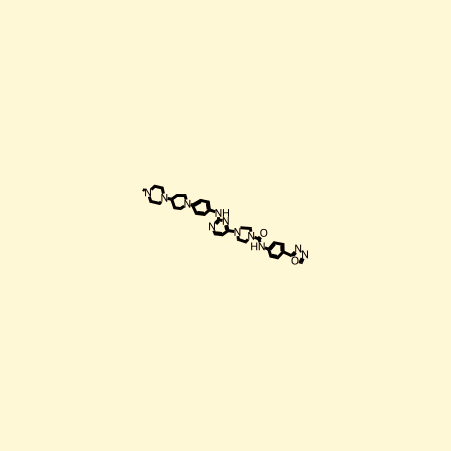 CN1CCN(C2CCN(c3ccc(Nc4nccc(N5CCN(C(=O)Nc6ccc(-c7nnco7)cc6)CC5)n4)cc3)CC2)CC1